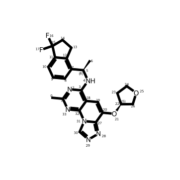 Cc1nc(N[C@H](C)c2cccc3c2CCC3(F)F)c2cc(O[C@H]3CCOC3)c3nncn3c2n1